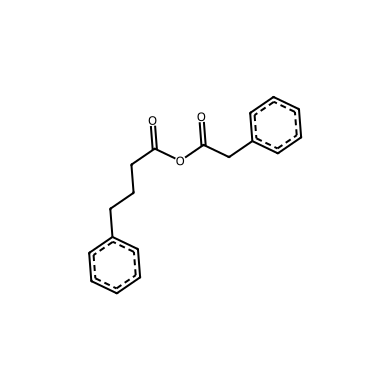 O=C(CCCc1ccccc1)OC(=O)Cc1ccccc1